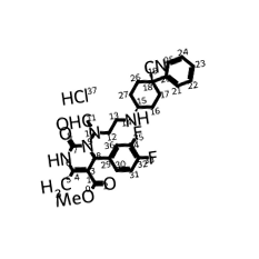 COC(=O)C1=C(C)NC(=O)N(N(C=O)CCN[C@H]2CC[C@@](C#N)(c3ccccc3)CC2)C1c1ccc(F)c(F)c1.Cl